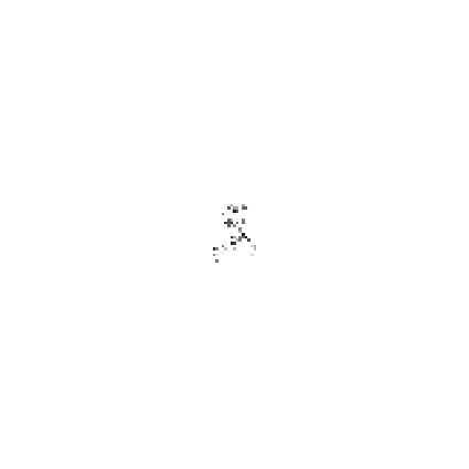 CO.[O-2].[O-2].[Sn+4]